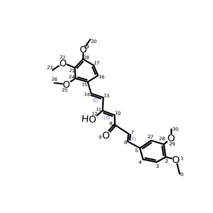 COc1ccc(/C=C/C(=O)/C=C(O)/C=C/c2ccc(OC)c(OC)c2OC)cc1OC